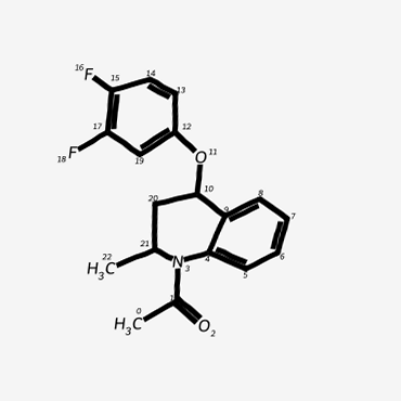 CC(=O)N1c2ccccc2C(Oc2ccc(F)c(F)c2)CC1C